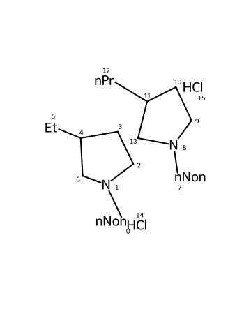 CCCCCCCCCN1CCC(CC)C1.CCCCCCCCCN1CCC(CCC)C1.Cl.Cl